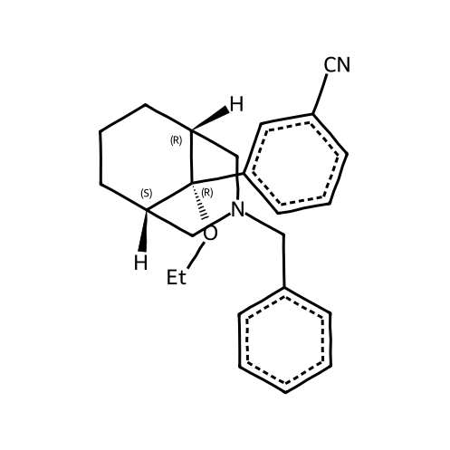 CCO[C@@]1(c2cccc(C#N)c2)[C@@H]2CCC[C@H]1CN(Cc1ccccc1)C2